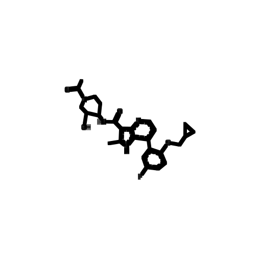 CC(=O)N1CCC(NC(=O)c2c(C)[nH]c3c(-c4cc(F)ccc4OCC4CC4)ccnc23)C(O)C1